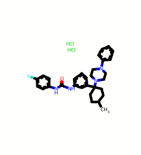 CC1CCC(c2cccc(NC(=O)Nc3ccc(F)cc3)c2)(N2CCN(c3ccccc3)CC2)CC1.Cl.Cl